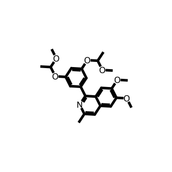 COc1cc2cc(C)nc(-c3cc(OC(C)OC)cc(OC(C)OC)c3)c2cc1OC